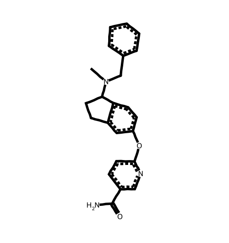 CN(Cc1ccccc1)C1CCc2cc(Oc3ccc(C(N)=O)cn3)ccc21